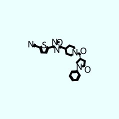 N#Cc1ccc(-c2noc(C3CCN(C(=O)[C@H]4CC(=O)N(c5ccccc5)C4)CC3)n2)s1